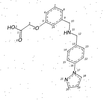 O=C(O)COc1cccc(CNCc2ccc(-n3cccn3)cc2)c1